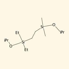 CC[Si](CC)(CC[Si](C)(C)OC(C)C)OC(C)C